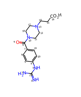 N=C(N)Nc1ccc(C(=O)N2CCN(CCC(=O)O)CC2)cc1